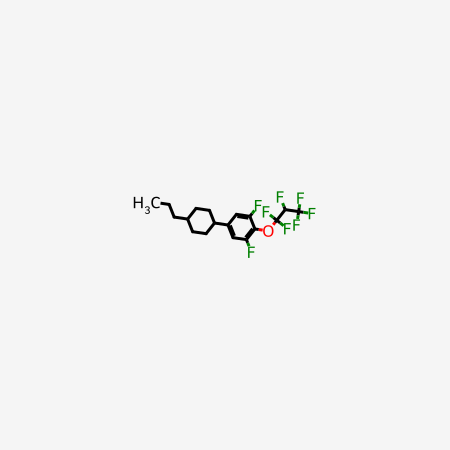 CCCC1CCC(c2cc(F)c(OC(F)(F)C(F)C(F)(F)F)c(F)c2)CC1